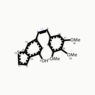 COc1cc(/C=C\c2cc(O)c3ccsc3c2)cc(OC)c1OC